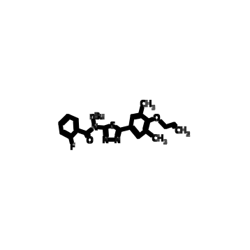 C=CCOc1c(C)cc(-c2nnc(N(CCCC)C(=O)c3ccccc3F)s2)cc1C